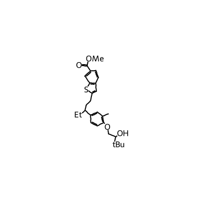 CCC(CCc1cc2ccc(C(=O)OC)cc2s1)c1ccc(OCC(O)C(C)(C)C)c(C)c1